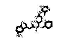 COC(=O)[C@H](Cc1c[nH]cn1)NC(=O)[C@H](Cc1ccccc1)NC(=O)CC1COc2ccc([N+](=O)[O-])cc21